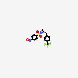 O=Nc1ccc(S(=O)(=O)N2C[C@@H]2Cc2ccc(C(F)(F)F)cc2)cc1